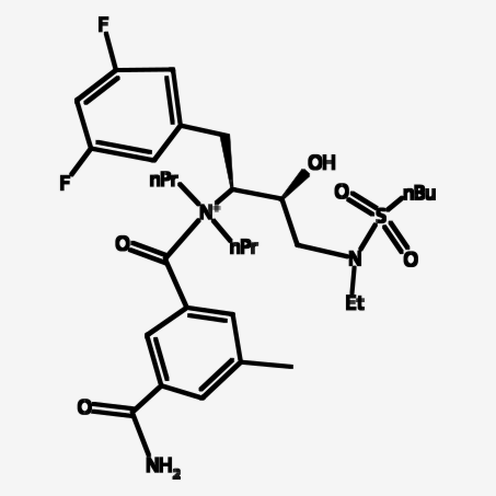 CCCCS(=O)(=O)N(CC)C[C@H](O)[C@H](Cc1cc(F)cc(F)c1)[N+](CCC)(CCC)C(=O)c1cc(C)cc(C(N)=O)c1